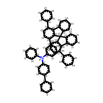 c1ccc(-c2ccc(N(c3ccccc3)c3cccc(-c4ccc(-c5ccccc5)c5c4C4(c6ccccc6-c6c(-c7ccccc7)cccc64)c4ccccc4-5)c3)cc2)cc1